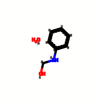 O.OCNc1ccccc1